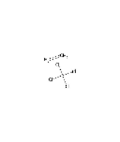 C=C.ClC(Cl)(Cl)Cl